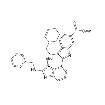 CCCCn1c(NCc2ccccc2)nc2cccc(-c3nc4cc(C(=O)OC)ccc4n3CCC3C=CCCC3)c21